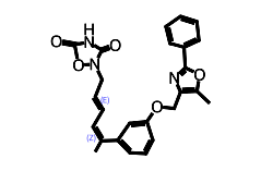 C/C(=C/C=C/Cn1oc(=O)[nH]c1=O)c1cccc(OCc2nc(-c3ccccc3)oc2C)c1